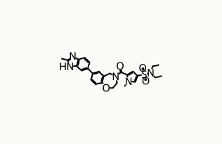 CCN(CC)S(=O)(=O)c1cc(C(=O)N2CCOc3ccc(-c4ccc5nc(C)[nH]c5c4)cc3C2)n(C)c1